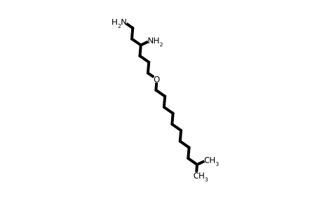 CC(C)CCCCCCCCCOCCCC(N)CCN